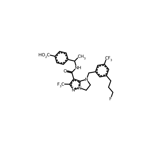 CC(NC(=O)c1c(C(F)(F)F)nn2c1N(Cc1cc(CCCF)cc(C(F)(F)F)c1)CC2)c1ccc(C(=O)O)cc1